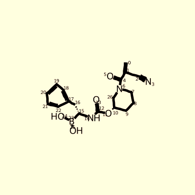 C=C(C#N)C(=O)N1CCC[C@H](OC(=O)N[C@@H](Cc2ccccc2)B(O)O)C1